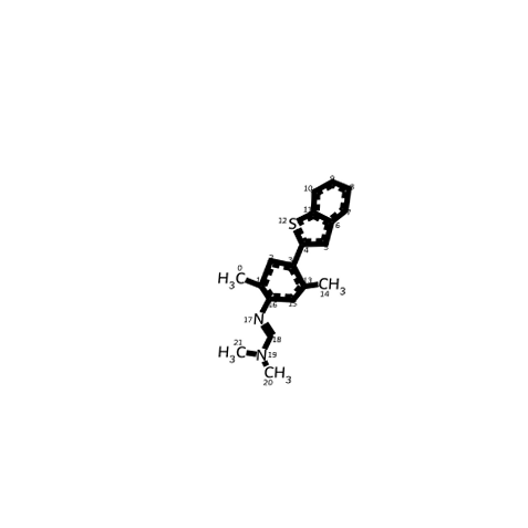 Cc1cc(-c2cc3ccccc3s2)c(C)cc1N=CN(C)C